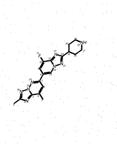 Cc1nc2c(C)cc(-c3cc(F)c4nc(C5CCNCC5)nn4c3)nn2n1